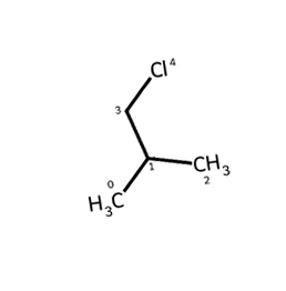 C[C](C)CCl